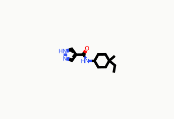 CCC1(C)CCC(NC(=O)c2cn[nH]c2)CC1